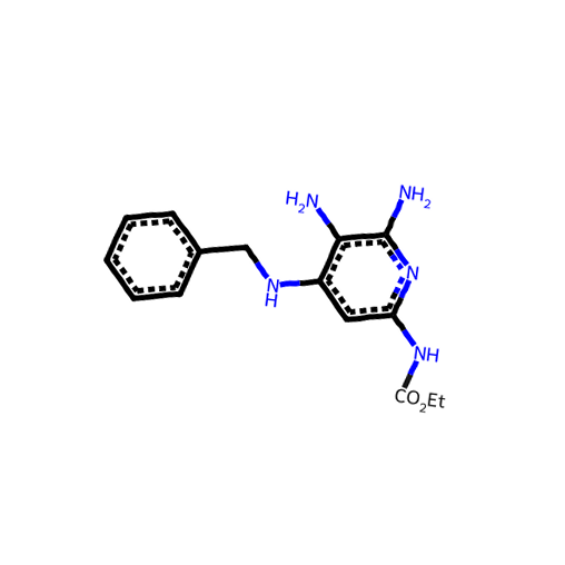 CCOC(=O)Nc1cc(NCc2ccccc2)c(N)c(N)n1